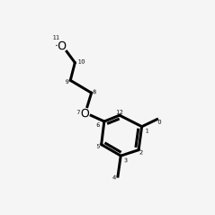 Cc1cc(C)cc(OCCC[O])c1